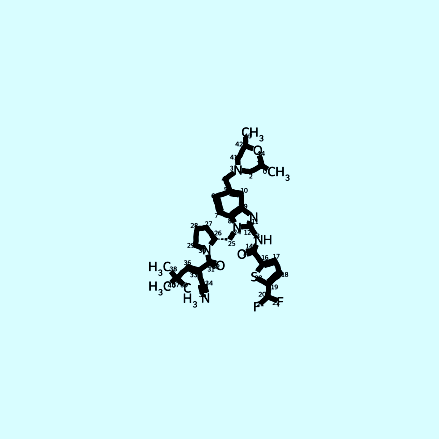 CC1CN(Cc2ccc3c(c2)nc(NC(=O)c2ccc(C(F)F)s2)n3C[C@H]2CCCN2C(=O)/C(C#N)=C/C(C)(C)C)CC(C)O1